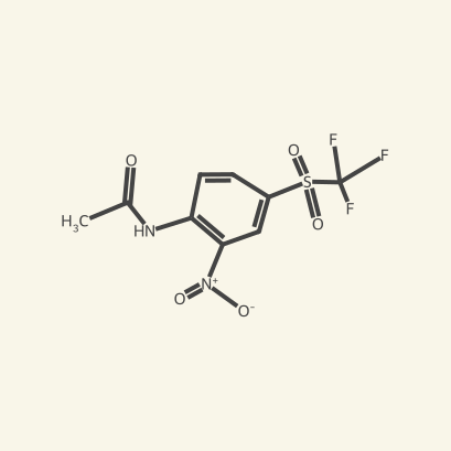 CC(=O)Nc1ccc(S(=O)(=O)C(F)(F)F)cc1[N+](=O)[O-]